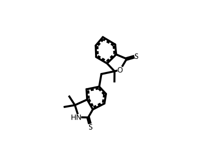 CC1(C)NC(=S)c2ccc(CC3(C)OC(=S)c4ccccc43)cc21